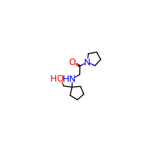 O=C(CNC1(CO)CCCC1)N1CCCC1